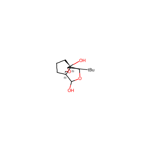 CC(C)(C)C1(O)OC[C@]23CCC[C@]12COC3O